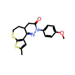 COc1ccc(N2N=C3c4cc(C)sc4SCCC3CC2=O)cc1